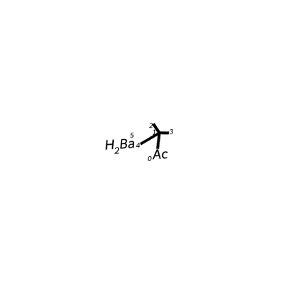 CC(=O)C(C)(C)C.[BaH2]